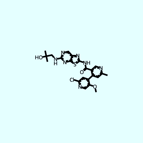 COc1cnc(Cl)cc1-c1cc(C)ncc1C(=O)Nc1nc2cnc(NCC(C)(C)O)nc2s1